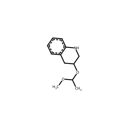 COC(C)OC1CNc2ccccc2C1